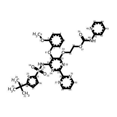 COc1ccccc1Oc1c(NS(=O)(=O)c2ccc(C(C)(C)C)s2)nc(-c2ncccn2)nc1OCCOC(=O)Nc1ccccn1